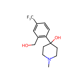 CN1CCC(O)(c2ccc(C(F)(F)F)cc2CO)CC1